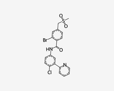 CS(=O)(=O)Cc1ccc(C(=O)Nc2ccc(Cl)c(-c3ccccn3)c2)c(Br)c1